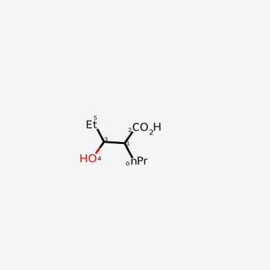 CCCC(C(=O)O)C(O)CC